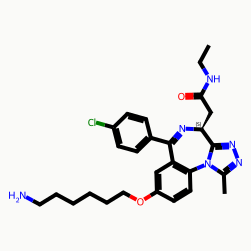 CCNC(=O)C[C@@H]1N=C(c2ccc(Cl)cc2)c2cc(OCCCCCCN)ccc2-n2c(C)nnc21